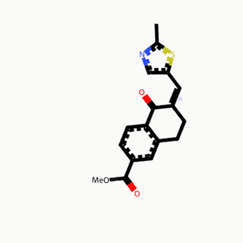 COC(=O)c1ccc2c(c1)CC/C(=C/c1cnc(C)s1)C2=O